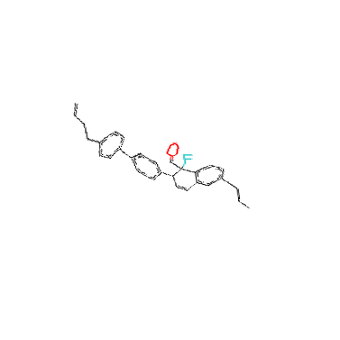 C=CCCc1ccc(-c2ccc(C3C=Cc4cc(CCC)ccc4C3(F)C=O)cc2)cc1